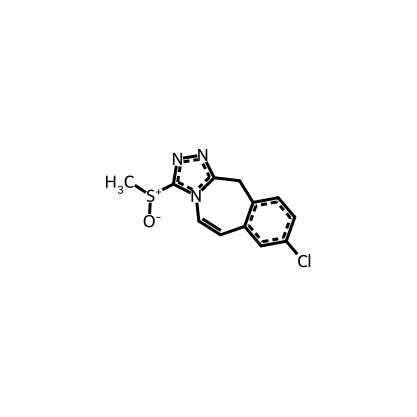 C[S+]([O-])c1nnc2n1C=Cc1cc(Cl)ccc1C2